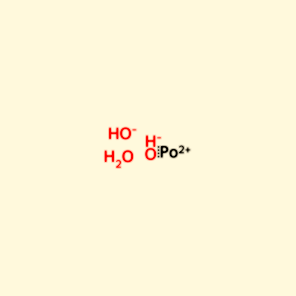 O.[OH-].[OH-].[Po+2]